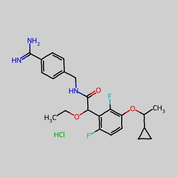 CCOC(C(=O)NCc1ccc(C(=N)N)cc1)c1c(F)ccc(OC(C)C2CC2)c1F.Cl